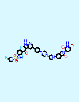 O=C1CCC(N2Cc3cc(N4CC[C@H](N5CCN(c6ccc(-c7cnc8[nH]cc(C(=O)c9c(F)ccc(NS(=O)(=O)N%10CC[C@@H](F)C%10)c9F)c8c7)cc6)CC5)C4)ccc3C2=O)C(=O)N1